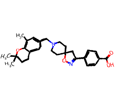 Cc1cc(CN2CCC3(CC2)CC(c2ccc(C(=O)O)cc2)=NO3)cc2c1OC(C)(C)CC2